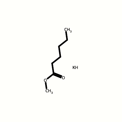 CCCCCC(=O)OC.[KH]